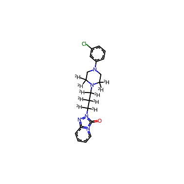 [2H]C1([2H])CN(c2cccc(Cl)c2)CC([2H])([2H])N1C([2H])([2H])C([2H])([2H])C([2H])([2H])n1nc2ccccn2c1=O